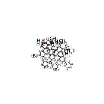 Cc1cc(-c2ccccc2)ccc1N1c2cc3c(cc2B2c4cc5c(cc4N(c4ccc(C(C)(C)C)cc4-c4ccccc4)c4cc(N(c6ccccc6)c6ccccc6)cc1c42)C(C)(C)CC5(C)C)C(C)(C)CCC3(C)C